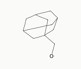 [O]CC12CC3CC(CC(C3)C1)C2